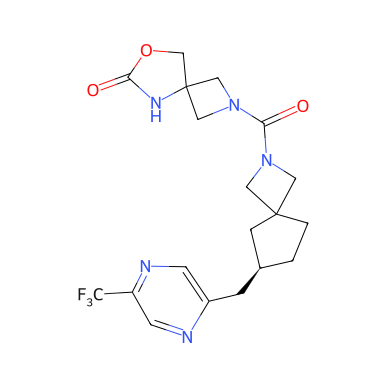 O=C1NC2(CO1)CN(C(=O)N1CC3(CC[C@@H](Cc4cnc(C(F)(F)F)cn4)C3)C1)C2